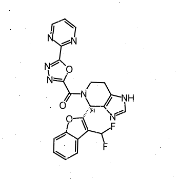 O=C(c1nnc(-c2ncccn2)o1)N1CCc2[nH]cnc2[C@@H]1c1oc2ccccc2c1C(F)F